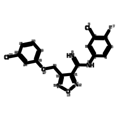 N=C(Nc1ccc(F)c(Cl)c1)c1nonc1COc1cccc(Cl)c1